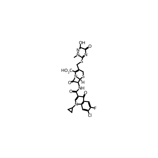 Cn1nc(O)c(=O)nc1SCC1=C(C(=O)O)N2C(=O)C(NC(=O)c3cn(C4CC4)c4cc(Cl)c(F)cc4c3=O)[C@@H]2SC1